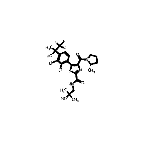 C[C@H]1CCCN1C(=O)c1nc(C(=O)NCC(C)(C)O)sc1-c1ccc(C(C)(O)C(F)(F)F)c(Cl)c1Cl